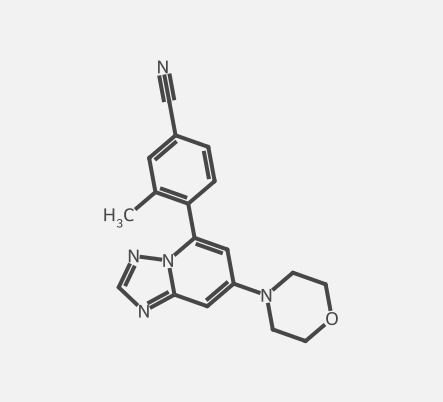 Cc1cc(C#N)ccc1-c1cc(N2CCOCC2)cc2ncnn12